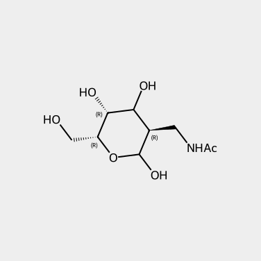 CC(=O)NC[C@H]1C(O)O[C@H](CO)[C@H](O)C1O